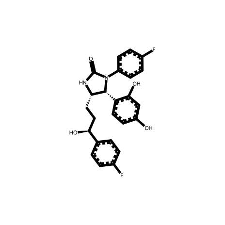 O=C1N[C@@H](CC[C@H](O)c2ccc(F)cc2)[C@@H](c2ccc(O)cc2O)N1c1ccc(F)cc1